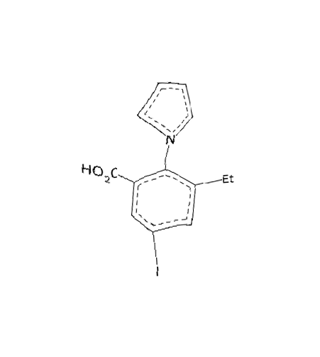 CCc1cc(I)cc(C(=O)O)c1-n1cccc1